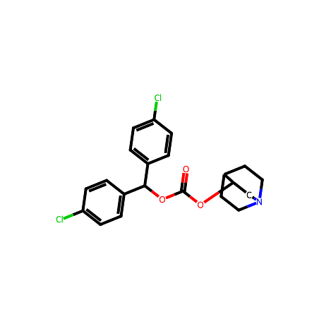 O=C(OC(c1ccc(Cl)cc1)c1ccc(Cl)cc1)OC1CN2CCC1CC2